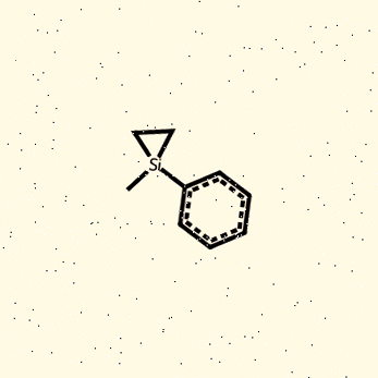 C[Si]1(c2ccccc2)CC1